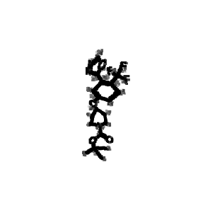 CC(C)(C)OC(=O)N1CCC(Oc2ccc(C(F)(F)F)c(-c3nnco3)c2)CC1